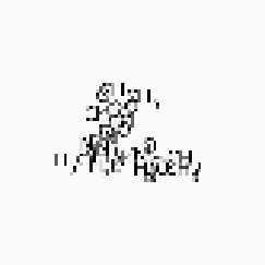 CNc1ncc2cc(-c3c(Cl)c(OC)cc(OC)c3Cl)c(=O)n(CCN(C)C3CN(C(=O)C(C#N)=CC(C)(C)C)C3)c2n1